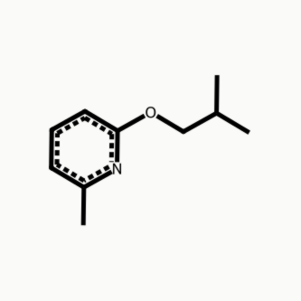 Cc1cccc(OCC(C)C)n1